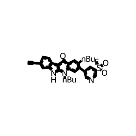 C#Cc1ccc2c(c1)[nH]c1c2c(=O)c2cc(CCCC)c(-c3cncc(S(=O)(=O)F)c3)cc2n1CCCC